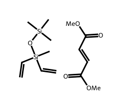 C=C[Si](C)(C=C)O[Si](C)(C)C.COC(=O)C=CC(=O)OC